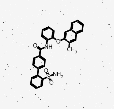 Cc1cc2ccccc2cc1Oc1ccccc1NC(=O)c1ccc(-c2ccccc2S(N)(=O)=O)cc1